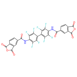 O=C(Nc1c(F)c(F)c(-c2c(F)c(F)c(NC(=O)c3ccc4c(c3)C(=O)OC4=O)c(F)c2F)c(F)c1F)c1ccc2c(c1)C(=O)OC2=O